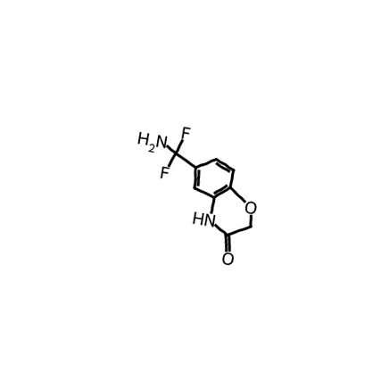 NC(F)(F)c1ccc2c(c1)NC(=O)CO2